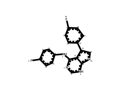 Fc1ccc(Nc2nc[nH]c3ncc(-c4ccc(F)cc4)c2-3)cc1